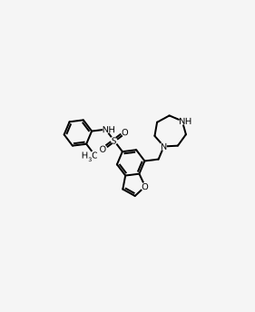 Cc1ccccc1NS(=O)(=O)c1cc(CN2CCCNCC2)c2occc2c1